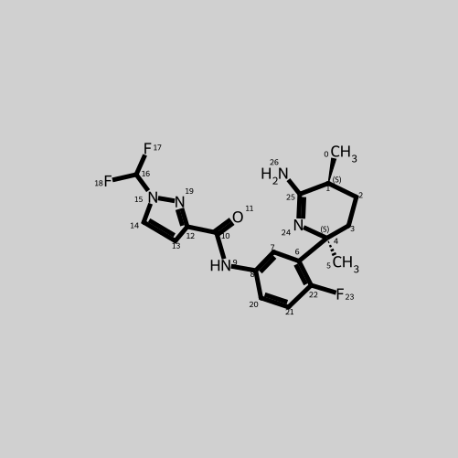 C[C@H]1CC[C@@](C)(c2cc(NC(=O)c3ccn(C(F)F)n3)ccc2F)N=C1N